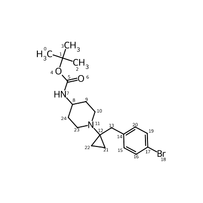 CC(C)(C)OC(=O)NC1CCN(C2(Cc3ccc(Br)cc3)CC2)CC1